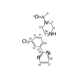 CC(=O)N1CCN[C@H](c2cc(Cl)cc(-c3ncccn3)c2)C1